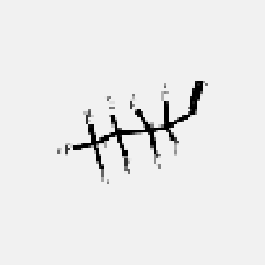 C=CC(F)(F)C(F)(F)C(F)(F)C(F)(F)I